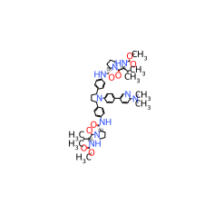 COC(=O)N[C@H](C(=O)N1CCC[C@H]1C(=O)Nc1ccc(C2CCC(c3ccc(NC(=O)[C@@H]4CCCN4C(=O)[C@@H](NC(=O)OC)C(C)C)cc3)N2c2ccc(-c3ccc(N(C)C)nc3)cc2)cc1)C(C)C